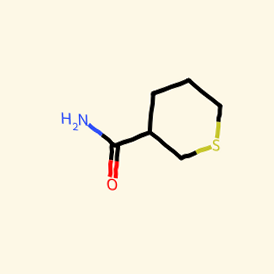 NC(=O)C1CCCSC1